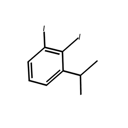 CC(C)c1cccc(I)c1I